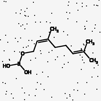 CC(C)=CCCC(C)=CCOB(O)O